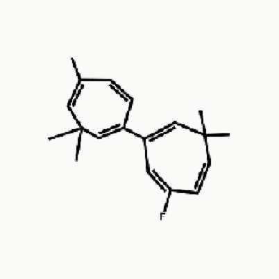 CC1=CC(C)(C)C=C(C2=CC(C)(C)C=CC(F)=C2)C=C1